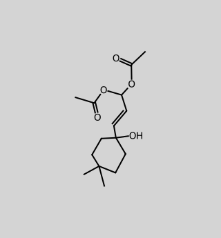 CC(=O)OC(C=CC1(O)CCC(C)(C)CC1)OC(C)=O